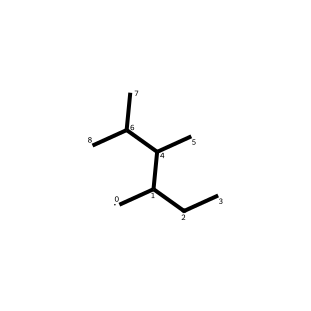 [CH2]C(CC)C(C)C(C)C